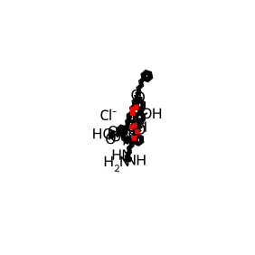 C[C@]12C=CC(=O)C=C1CCC1C2[C@@H](O)C[C@@]2(C)C1C[C@@H]1O[C@@H](C3CCCCC3)O[C@]12C(=O)COC(=O)C(CCCNC(=N)N)[N+](C)(C)Cc1cc(C(O)CNCCCCCCOCCCCc2ccccc2)ccc1OP(=O)(O)O.[Cl-]